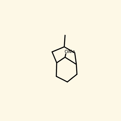 COC1C2CCCC1CC(C)C2